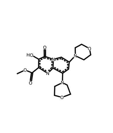 COC(=O)c1nc2c(N3CCOCC3)cc(N3CCOCC3)cn2c(=O)c1O